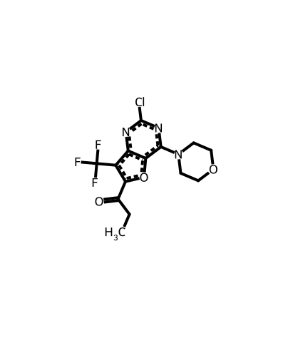 CCC(=O)c1oc2c(N3CCOCC3)nc(Cl)nc2c1C(F)(F)F